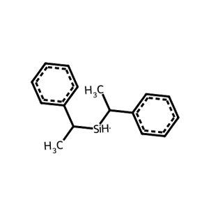 CC([SiH]C(C)c1ccccc1)c1ccccc1